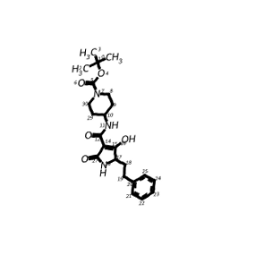 CC(C)(C)OC(=O)N1CCC(NC(=O)C2=C(O)C(CCc3ccccc3)NC2=O)CC1